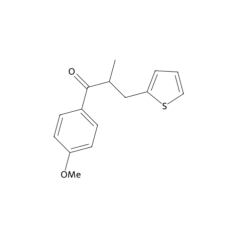 COc1ccc(C(=O)C(C)Cc2cccs2)cc1